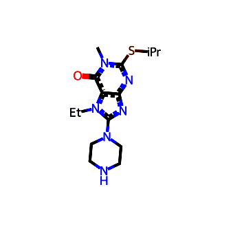 CCn1c(N2CCNCC2)nc2nc(SC(C)C)n(C)c(=O)c21